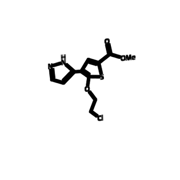 COC(=O)c1cc(-c2ccn[nH]2)c(OCCCl)s1